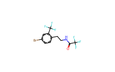 O=C(NCCc1ccc(Br)cc1C(F)(F)F)C(F)(F)F